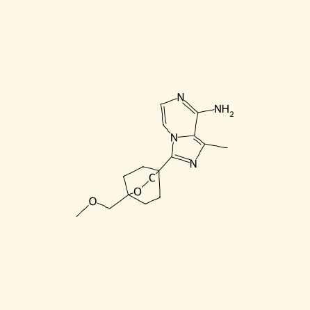 COCC12CCC(c3nc(C)c4c(N)nccn34)(CC1)CO2